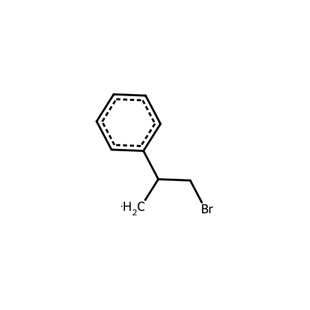 [CH2]C(CBr)c1ccccc1